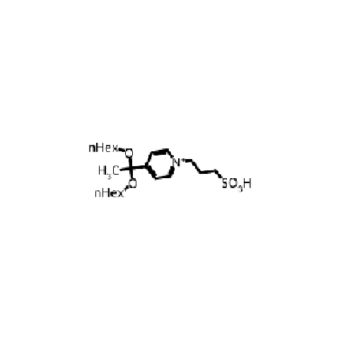 CCCCCCOC(C)(OCCCCCC)c1cc[n+](CCCS(=O)(=O)O)cc1